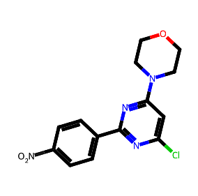 O=[N+]([O-])c1ccc(-c2nc(Cl)cc(N3CCOCC3)n2)cc1